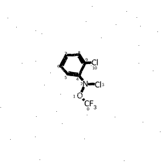 FC(F)(F)ON(Cl)c1ccccc1Cl